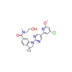 COc1cc(Cl)cc(-c2cnc(N3CC4(CC4)c4ccc(C(=O)N(C)CCO)cc43)nc2)n1